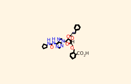 O=C(Nc1ncnc2c1ncn2[C@@H]1O[C@H](COCc2ccccc2C(=O)O)[C@@H]2O[C@H](/C=C/c3ccccc3)OC21)NC1CCCC1